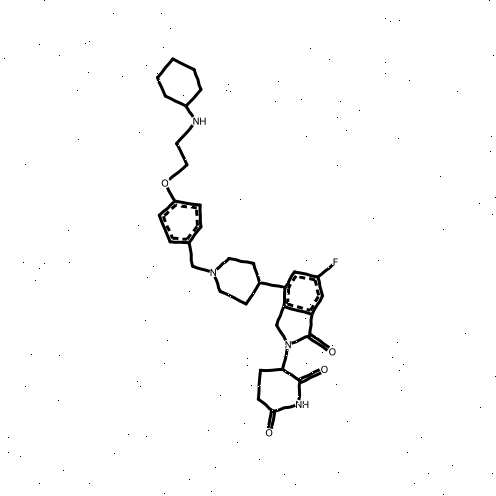 O=C1CCC(N2Cc3c(cc(F)cc3C3CCN(Cc4ccc(OCCNC5CCCCC5)cc4)CC3)C2=O)C(=O)N1